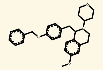 COc1ccc2c(c1)CCN(C1CCOCC1)C2Cc1ccc(OCc2ccccc2)cc1